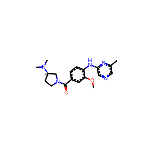 COc1cc(C(=O)N2CC[C@@H](N(C)C)C2)ccc1Nc1cncc(C)n1